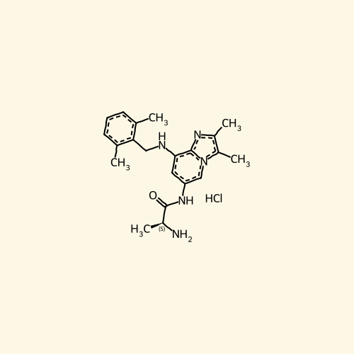 Cc1cccc(C)c1CNc1cc(NC(=O)[C@H](C)N)cn2c(C)c(C)nc12.Cl